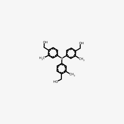 Cc1cc(N(c2ccc(CO)c(C)c2)c2ccc(CO)c(C)c2)ccc1CO